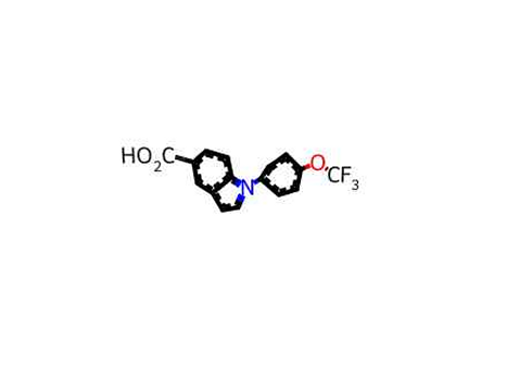 O=C(O)c1ccc2c(ccn2-c2ccc(OC(F)(F)F)cc2)c1